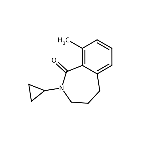 Cc1cccc2c1C(=O)N(C1CC1)CCC2